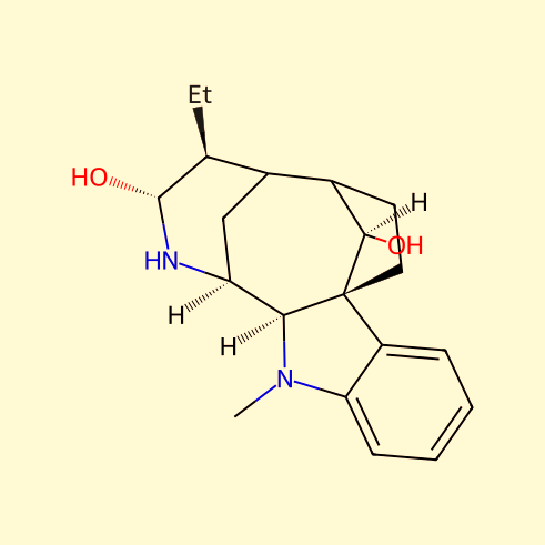 CC[C@H]1C2C[C@H](N[C@@H]1O)[C@@H]1N(C)c3ccccc3[C@]13CCC2[C@H]3O